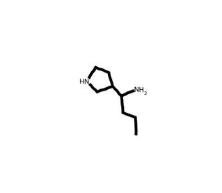 CCCC(N)C1CCNC1